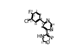 Fc1ccc(-c2cc(C3=NOCN3)ncn2)cc1Cl